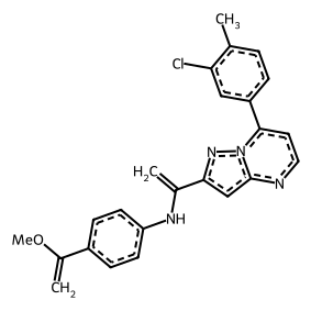 C=C(OC)c1ccc(NC(=C)c2cc3nccc(-c4ccc(C)c(Cl)c4)n3n2)cc1